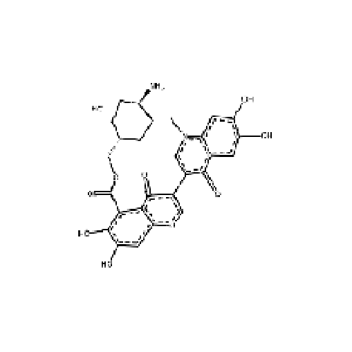 Cl.Cn1cc(-c2coc3cc(O)c(O)c(C(=O)OC[C@H]4CC[C@H](N)CC4)c3c2=O)c(=O)c2cc(O)c(O)cc21